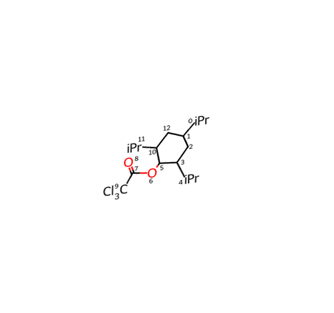 CC(C)C1CC(C(C)C)C(OC(=O)C(Cl)(Cl)Cl)C(C(C)C)C1